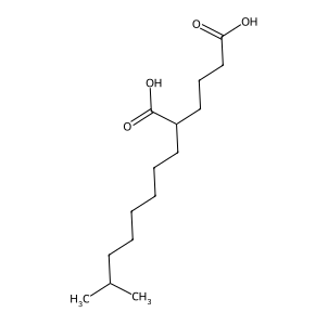 CC(C)CCCCCCC(CCCC(=O)O)C(=O)O